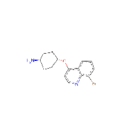 N[C@H]1CC[C@H](Oc2ccnc3c(Br)cccc23)CC1